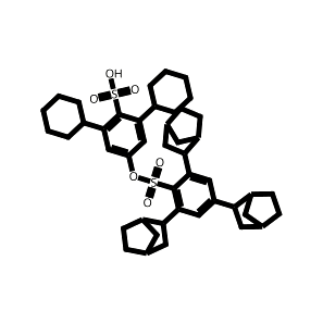 O=S(=O)(O)c1c(C2CCCCC2)cc(OS(=O)(=O)c2c(C3CC4CCC3C4)cc(C3CC4CCC3C4)cc2C2CC3CCC2C3)cc1C1CCCCC1